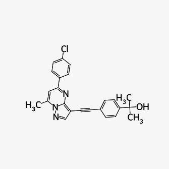 Cc1cc(-c2ccc(Cl)cc2)nc2c(C#Cc3ccc(C(C)(C)O)cc3)cnn12